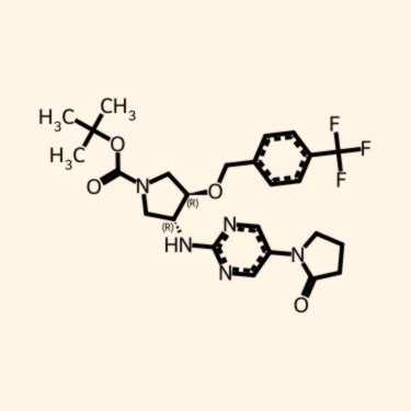 CC(C)(C)OC(=O)N1C[C@@H](Nc2ncc(N3CCCC3=O)cn2)[C@H](OCc2ccc(C(F)(F)F)cc2)C1